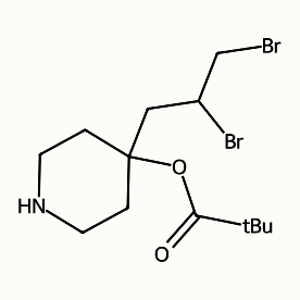 CC(C)(C)C(=O)OC1(CC(Br)CBr)CCNCC1